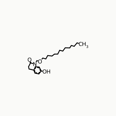 CCCCCCCCCCCCCCOCN1C(=O)CCc2ccc(O)cc21